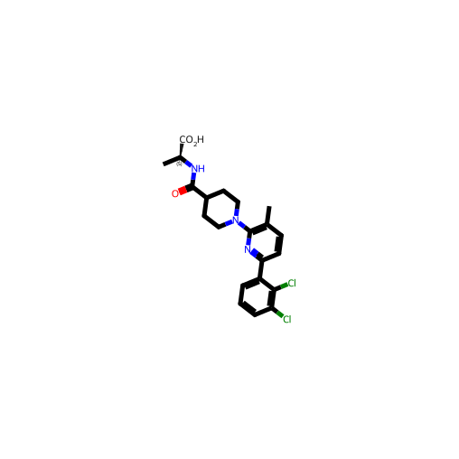 Cc1ccc(-c2cccc(Cl)c2Cl)nc1N1CCC(C(=O)N[C@@H](C)C(=O)O)CC1